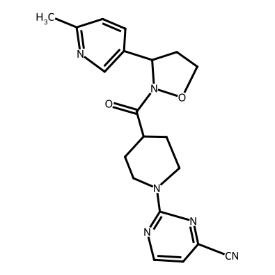 Cc1ccc(C2CCON2C(=O)C2CCN(c3nccc(C#N)n3)CC2)cn1